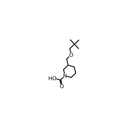 CC(C)(C)COCC1CCCN(C(=O)O)C1